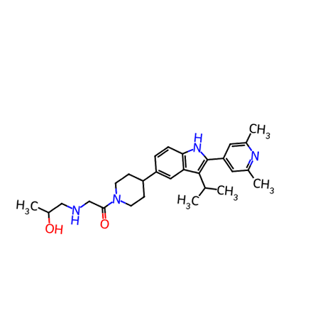 Cc1cc(-c2[nH]c3ccc(C4CCN(C(=O)CNCC(C)O)CC4)cc3c2C(C)C)cc(C)n1